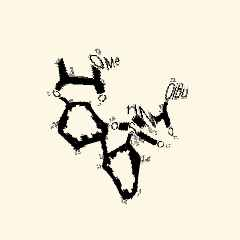 COC(=O)C(C)Oc1ccc(-c2ccccc2S(=O)(=O)NC(=O)OCC(C)C)cc1